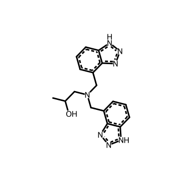 CC(O)CN(Cc1cccc2[nH]nnc12)Cc1cccc2[nH]nnc12